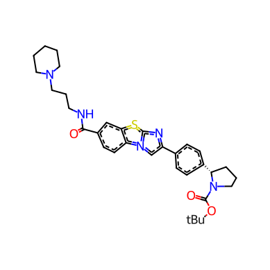 CC(C)(C)OC(=O)N1CCC[C@H]1c1ccc(-c2cn3c(n2)sc2cc(C(=O)NCCCN4CCCCC4)ccc23)cc1